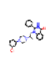 CC(CN1c2ccccc2C(=O)NC1c1ccccc1)N1CCN(c2cccc(O)c2)CC1